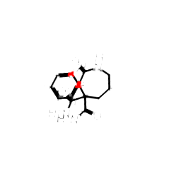 NC(=O)C1(C(N)=O)CCCNC(=O)C12Cc1ccc2cc1